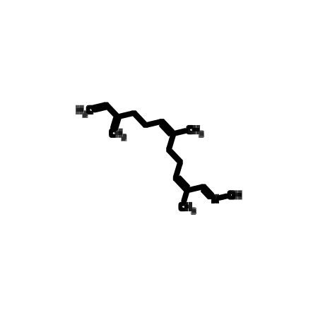 C=CC(=C)CCC=C(C)CCC=C(C)C=NO